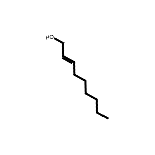 CCCCCCC=C[CH]O